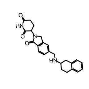 O=C1CCC(N2Cc3cc(CNC4CCc5ccccc5C4)ccc3C2=O)C(=O)N1